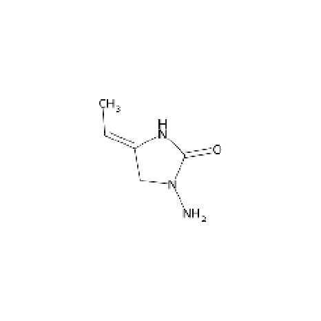 CC=C1CN(N)C(=O)N1